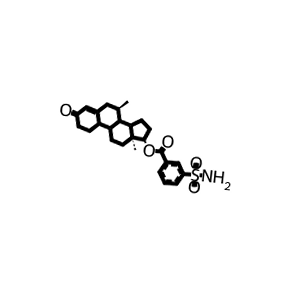 C[C@@H]1CC2=CC(=O)CCC2C2CC[C@@]3(C)C(CC[C@@H]3OC(=O)c3cccc(S(N)(=O)=O)c3)C21